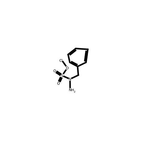 NN(Cc1ccccc1)S(=O)(=O)OCl